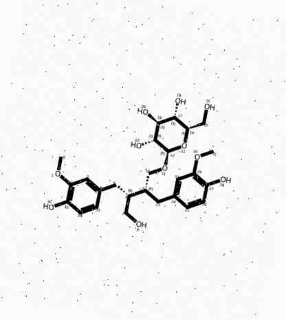 COc1cc(C[C@@H](CO)[C@H](CO[C@@H]2O[C@H](CO)[C@@H](O)[C@H](O)[C@H]2O)Cc2ccc(O)c(OC)c2)ccc1O